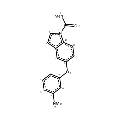 CNC(=O)n1ccc2cc(Oc3ccnc(NC)c3)ccc21